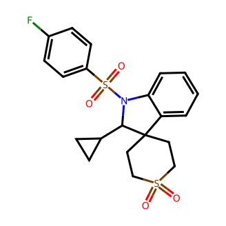 O=S1(=O)CCC2(CC1)c1ccccc1N(S(=O)(=O)c1ccc(F)cc1)C2C1CC1